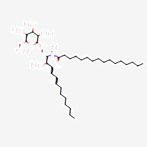 CCCCCCC/C=C/C=C/[C@@H](O)[C@H](CO[C@@H]1O[C@H](CO)[C@@H](O)C(O)C1O)NC(=O)CCCCCCCCCCCCCCC